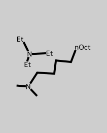 CCCCCCCCCCCCN(C)C.CCN(CC)CC